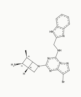 C[C@H]1C2[C@H](CN2c2nc(NCc3nc4ccccc4[nH]3)n3ncc(Br)c3n2)[C@H]1N